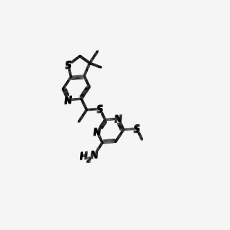 CSc1cc(N)nc(SC(C)c2cc3c(cn2)SCC3(C)C)n1